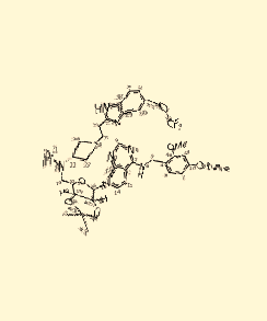 COc1ccc(CNc2ncnc3c2ccn3[C@@H]2O[C@H](CN(C(C)C)[C@H]3C[C@H](CCc4nc5cc(OC(F)(F)F)ccc5[nH]4)C3)[C@H]3OC(C)(C)O[C@H]32)c(OC)c1